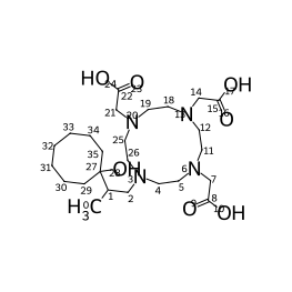 CC(CN1CCN(CC(=O)O)CCN(CC(=O)O)CCN(CC(=O)O)CC1)C1(O)CCCCCCC1